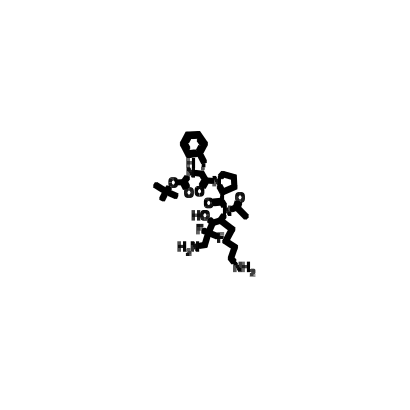 CC(=O)N(C(=O)[C@@H]1CCCN1C(=O)[C@@H](Cc1ccccc1)NC(=O)OC(C)(C)C)C(CCCCN)C(O)C(F)(F)CN